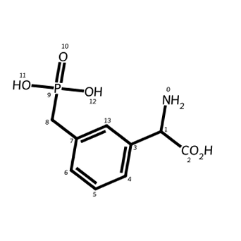 NC(C(=O)O)c1cccc(CP(=O)(O)O)c1